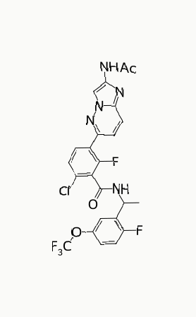 CC(=O)Nc1cn2nc(-c3ccc(Cl)c(C(=O)NC(C)c4cc(OC(F)(F)F)ccc4F)c3F)ccc2n1